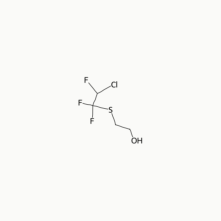 OCCSC(F)(F)C(F)Cl